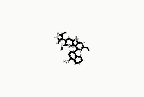 CCc1nc(-c2ccc(N)c3ccccc23)c2c(n1)[nH]c1cc(-c3c(C)noc3C)c(OC)cc12